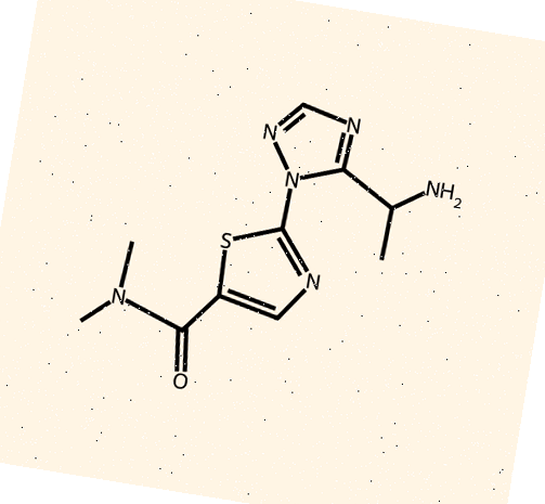 CC(N)c1ncnn1-c1ncc(C(=O)N(C)C)s1